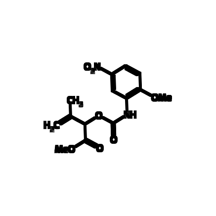 C=C(C)C(OC(=O)Nc1cc([N+](=O)[O-])ccc1OC)C(=O)OC